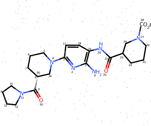 Nc1nc(N2CCC[C@@H](C(=O)N3CCCC3)C2)ccc1NC(=O)C1CCCN(C(=O)O)C1